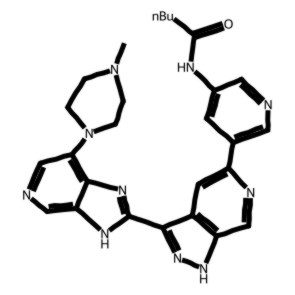 CCCCC(=O)Nc1cncc(-c2cc3c(-c4nc5c(N6CCN(C)CC6)cncc5[nH]4)n[nH]c3cn2)c1